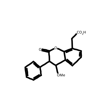 COC1c2cccc(CC(=O)O)c2OC(=O)C1c1ccccc1